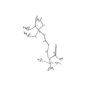 CCC(CC)(CCCCC(C(=O)O)C(C)(C)C)C(=O)O